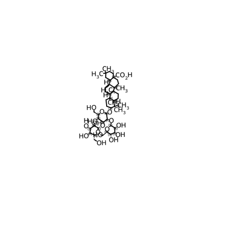 CC1(C)CC[C@]2(C(=O)O)CC[C@]3(C)C(=CC[C@@H]4[C@@]5(C)CC[C@H](O[C@@H]6O[C@H](CO)[C@@H](O)[C@H](O[C@@H]7O[C@H](CO)[C@H](O)[C@H](O)[C@H]7O)[C@H]6O[C@@H]6O[C@H](CO)[C@@H](O)[C@H](O)[C@H]6O)C(C)(C)[C@@H]5CC[C@]43C)[C@@H]2C1